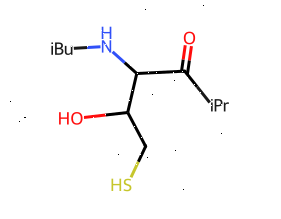 CCC(C)NC(C(=O)C(C)C)C(O)CS